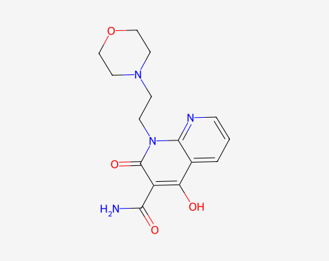 NC(=O)c1c(O)c2cccnc2n(CCN2CCOCC2)c1=O